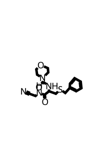 N#CCNC(=O)C(CSCc1ccccc1)NC(=O)N1CCOCC1